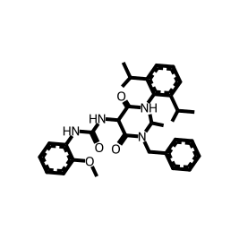 COc1ccccc1NC(=O)NC(C(=O)Nc1c(C(C)C)cccc1C(C)C)C(=O)N(Cc1ccccc1)C(C)C